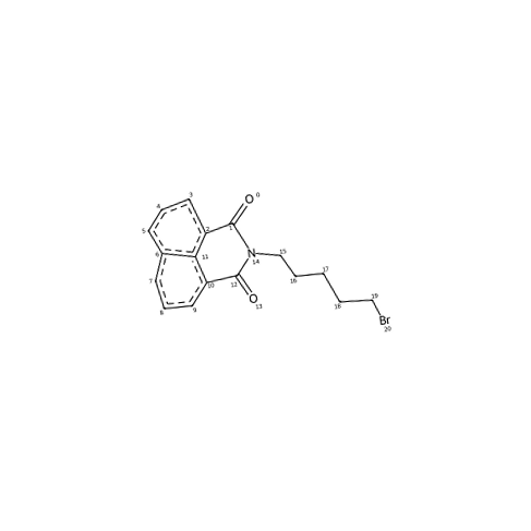 O=C1c2cccc3cccc(c23)C(=O)N1CCCCCBr